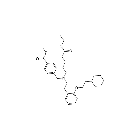 CCOC(=O)CCCCN(CCc1ccccc1OCCC1CCCCC1)Cc1ccc(C(=O)OC)cc1